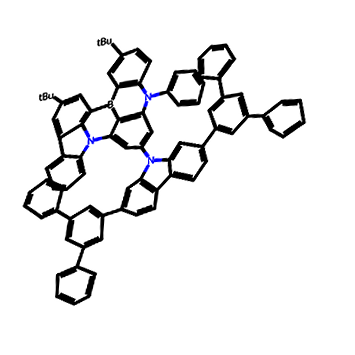 CC(C)(C)c1ccc2c(c1)B1c3c(cc(-n4c5cc(-c6cc(-c7ccccc7)cc(-c7ccccc7)c6)ccc5c5ccc(-c6cc(-c7ccccc7)cc(-c7ccccc7)c6)cc54)cc3-n3c4ccccc4c4cc(C(C)(C)C)cc1c43)N2c1ccccc1